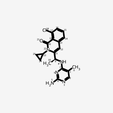 Cc1cnc(N)nc1N[C@@H](C)c1cc2cccc(Cl)c2c(=O)n1C1CC1